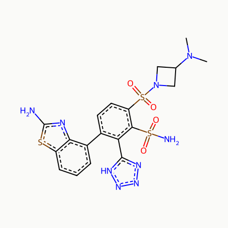 CN(C)C1CN(S(=O)(=O)c2ccc(-c3cccc4sc(N)nc34)c(-c3nnn[nH]3)c2S(N)(=O)=O)C1